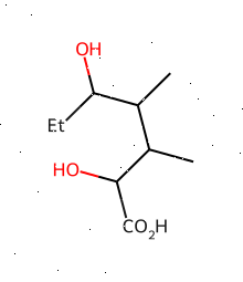 CCC(O)C(C)C(C)C(O)C(=O)O